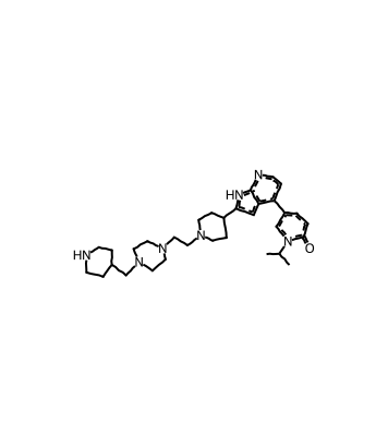 CC(C)n1cc(-c2ccnc3[nH]c(C4CCN(CCN5CCN(CC6CCNCC6)CC5)CC4)cc23)ccc1=O